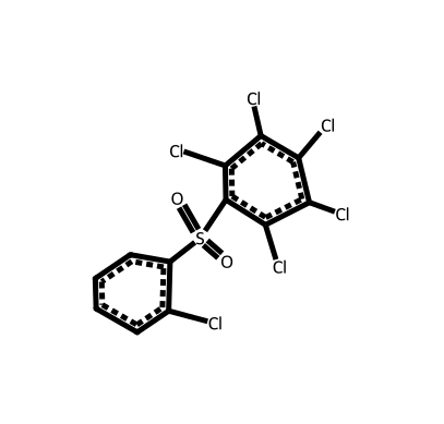 O=S(=O)(c1ccccc1Cl)c1c(Cl)c(Cl)c(Cl)c(Cl)c1Cl